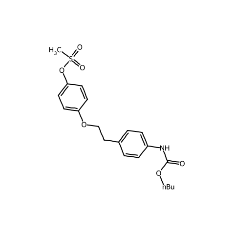 CCCCOC(=O)Nc1ccc(CCOc2ccc(OS(C)(=O)=O)cc2)cc1